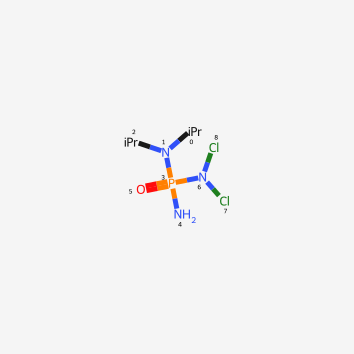 CC(C)N(C(C)C)P(N)(=O)N(Cl)Cl